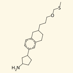 CSCOCCCC1CCc2cc(C3CCC(N)C3)ccc2C1